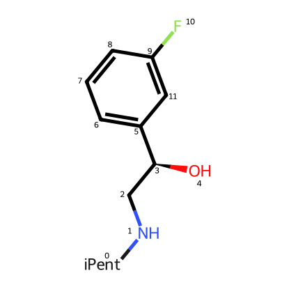 CCCC(C)NC[C@H](O)c1cccc(F)c1